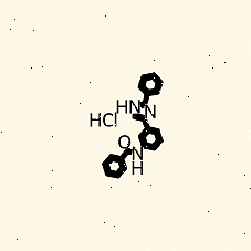 Cl.O=C(Nc1cccc(-c2c[nH]c(-c3ccccc3)n2)c1)c1ccccc1